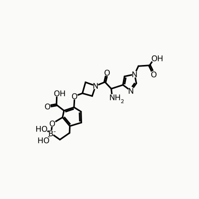 NC(C(=O)N1CC(Oc2ccc3c(c2C(=O)O)O[B-](O)(O)CC3)C1)c1cn(CC(=O)O)cn1